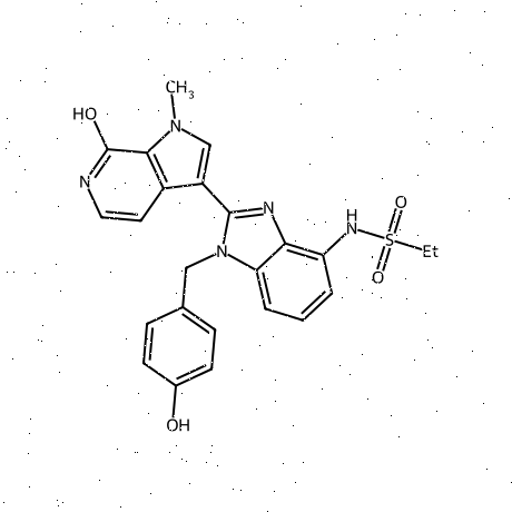 CCS(=O)(=O)Nc1cccc2c1nc(-c1cn(C)c3c(O)nccc13)n2Cc1ccc(O)cc1